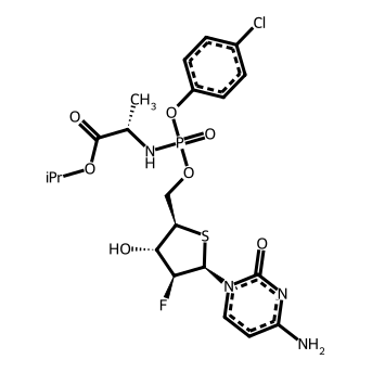 CC(C)OC(=O)[C@H](C)NP(=O)(OC[C@H]1S[C@@H](n2ccc(N)nc2=O)[C@@H](F)[C@@H]1O)Oc1ccc(Cl)cc1